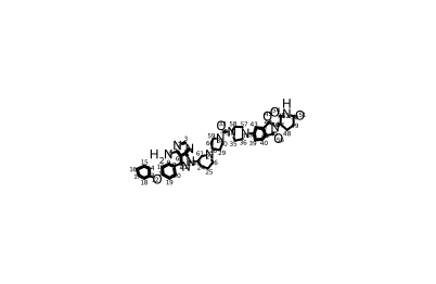 Nc1ncnc2c1c(-c1ccc(Oc3ccccc3)cc1)nn2[C@@H]1CCCN(C2CCN(C(=O)N3CCN(c4ccc5c(c4)C(=O)N(C4CCC(=O)NC4=O)C5=O)CC3)CC2)C1